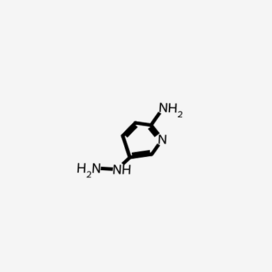 NNc1ccc(N)nc1